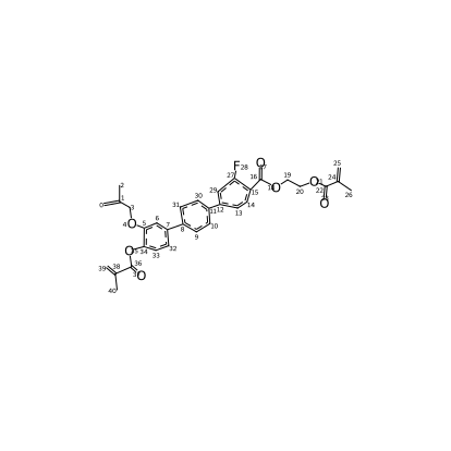 C=C(C)COc1cc(-c2ccc(-c3ccc(C(=O)OCCOC(=O)C(=C)C)c(F)c3)cc2)ccc1OC(=O)C(=C)C